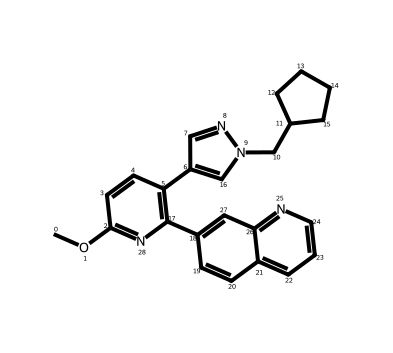 COc1ccc(-c2cnn(CC3CCCC3)c2)c(-c2ccc3cccnc3c2)n1